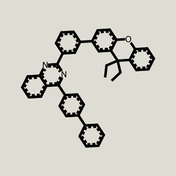 CCC1(CC)c2ccccc2Oc2ccc(-c3cccc(-c4nc(-c5ccc(-c6ccccc6)cc5)c5ccccc5n4)c3)cc21